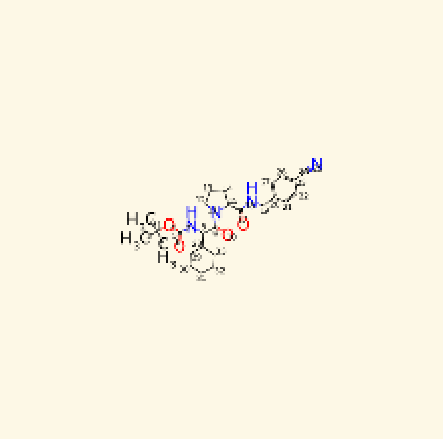 CC(C)(C)OC(=O)NC(C(=O)N1CCCC1C(=O)NCc1ccc(C#N)cc1)C1CCCCC1